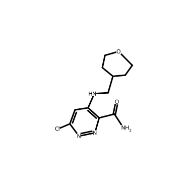 NC(=O)c1nnc(Cl)cc1NCC1CCOCC1